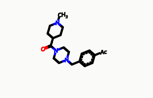 CC(=O)c1ccc(CN2CCN(C(=O)C3CCN(C)CC3)CC2)cc1